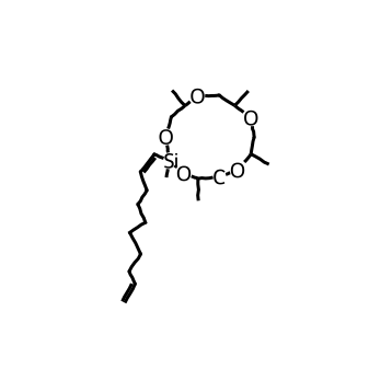 C=CCCCCCC/C=C\[Si]1(C)OCC(C)OCC(C)OCC(C)OCC(C)O1